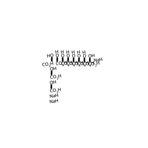 O=C(O)O.O=C(O)O.O=C(O)O.O=C(O)O.O=C(O)O.O=C(O)O.O=C(O)O.O=C(O)O.O=C(O)O.O=C(O)O.[NaH].[NaH].[NaH]